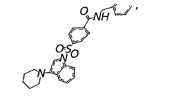 O=C(NCc1ccc(F)cc1)c1ccc(S(=O)(=O)n2cc(N3CCCCC3)c3ccccc32)cc1